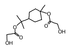 CC1(OC(=O)CO)CCC(C(C)(C)OC(=O)CO)CC1